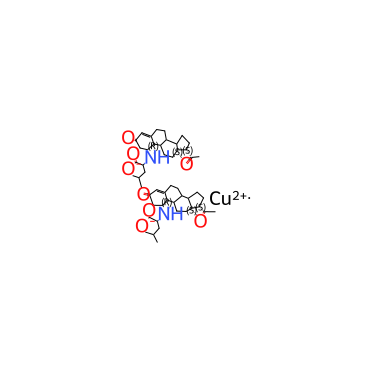 CC(=O)[C@H]1CCC2C3CCC4=CC(=O)CC(NC(CC(C)C)C(=O)[O-])[C@]4(C)C3CC[C@@]21C.CC(=O)[C@H]1CCC2C3CCC4=CC(=O)CC(NC(CC(C)C)C(=O)[O-])[C@]4(C)C3CC[C@@]21C.[Cu+2]